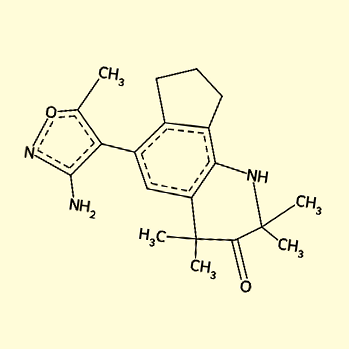 Cc1onc(N)c1-c1cc2c(c3c1CCC3)NC(C)(C)C(=O)C2(C)C